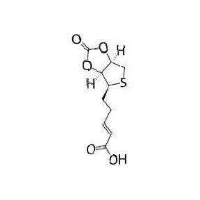 O=C(O)C=CCC[C@@H]1SC[C@@H]2OC(=O)O[C@@H]21